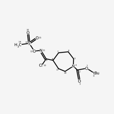 CC(C)(C)OC(=O)N1CCCC(C(Cl)=NOS(C)(=O)=O)CC1